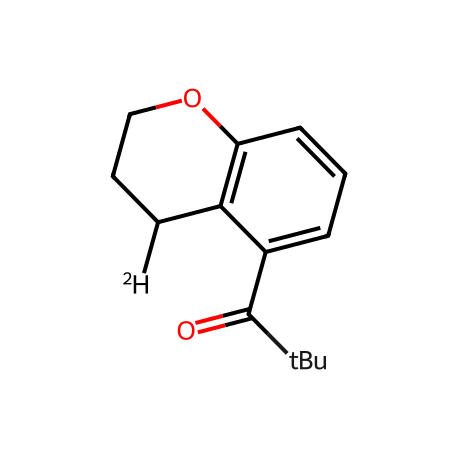 [2H]C1CCOc2cccc(C(=O)C(C)(C)C)c21